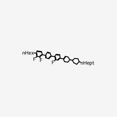 CCCCCCCC1CCC(C2CC=C(c3ccc(-c4ccc(-c5ccc(CCCCCC)c(F)c5F)cc4)c(F)c3)CC2)CC1